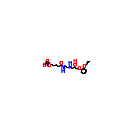 C=CCOc1ccccc1OCC(O)CNCCNC(=O)CCCCO[N+](=O)[O-]